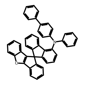 c1ccc(-c2ccc(N(c3ccccc3)c3cccc4c3-c3ccccc3C43c4ccccc4-c4oc5ccccc5c43)cc2)cc1